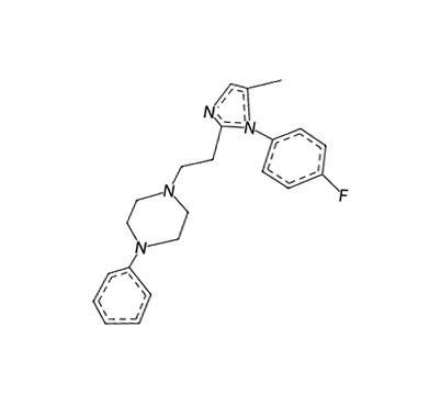 Cc1cnc(CCN2CCN(c3ccccc3)CC2)n1-c1ccc(F)cc1